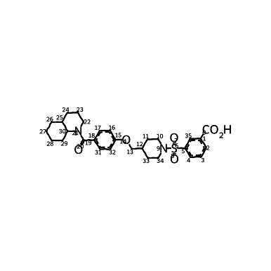 O=C(O)c1cccc(S(=O)(=O)N2CCC(COc3ccc(C(=O)N4CCCC5CCCCC54)cc3)CC2)c1